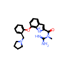 CN(C(=N)N)C(=O)c1cc2cccc(Oc3ccccc3CN3CCCC3)c2[nH]1